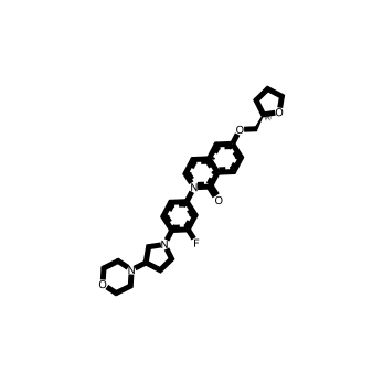 O=c1c2ccc(OC[C@H]3CCCO3)cc2ccn1-c1ccc(N2CCC(N3CCOCC3)C2)c(F)c1